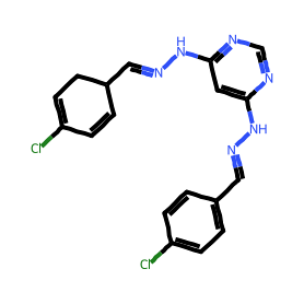 ClC1=CCC(/C=N/Nc2cc(N/N=C/c3ccc(Cl)cc3)ncn2)C=C1